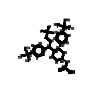 CC(C)(C)CC[C@H](c1ccc(C(F)(F)F)cc1)N1CC[C@@H](CC(=O)O)C[C@H]1c1ccc(C(F)(F)F)cc1